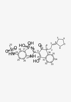 CC1(CC=C2CCCC2)C(=O)C(C2=NS(O)(O)c3cc(NS(C)(=O)=O)ccc3N2)=C(O)c2ccccc21